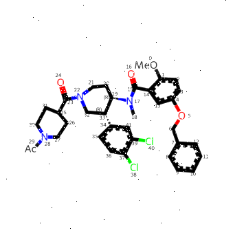 COc1ccc(OCc2ccccc2)cc1C(=O)N(C)[C@@H]1CCN(C(=O)C2CCN(C(C)=O)CC2)C[C@H]1c1ccc(Cl)c(Cl)c1